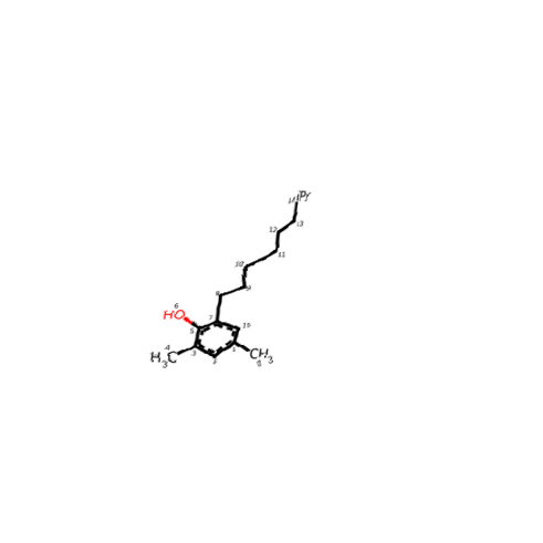 Cc1cc(C)c(O)c(CCCCCCC(C)C)c1